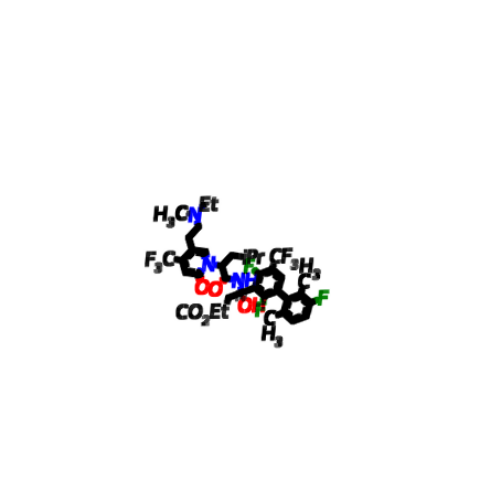 CCOC(=O)C[C@@](O)(NC(=O)C(CC(C)C)n1cc(CCN(C)CC)c(C(F)(F)F)cc1=O)c1c(F)c(-c2c(C)ccc(F)c2C)cc(C(F)(F)F)c1F